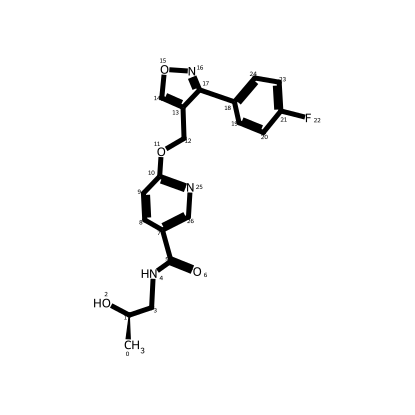 C[C@@H](O)CNC(=O)c1ccc(OCc2conc2-c2ccc(F)cc2)nc1